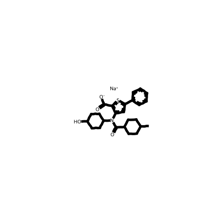 CC1CCC(C(=O)N(c2cc(-c3ccccc3)sc2C(=O)[O-])C2CCC(O)CC2)CC1.[Na+]